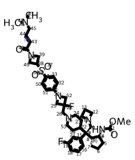 COC(=O)N[C@H]1CCC[C@@H]1[C@](CN1CCC1)(c1cccc(F)c1)C1CCN(CC2(F)CN(c3ccc(S(=O)(=O)C4CN(C(=O)/C=C/CN(C)C)C4)cc3)C2)CC1